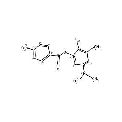 CCCc1c(C)nc(N(C)C)nc1OC(=O)c1ccc([N+](=O)[O-])cc1